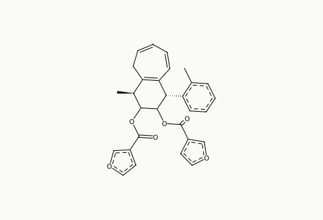 Cc1ccccc1[C@H]1C2=C(CC=CC=C2)[C@H](C)C(OC(=O)c2ccoc2)C1OC(=O)c1ccoc1